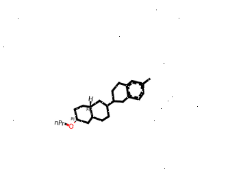 CCCO[C@@H]1CC[C@@H]2CC(C3CCc4cc(C)ccc4C3)CCC2C1